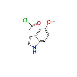 CC(=O)Cl.COc1ccc2[nH]ccc2c1